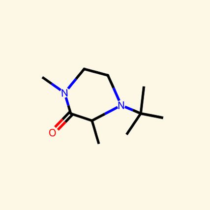 CC1C(=O)N(C)CCN1C(C)(C)C